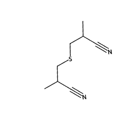 CC(C#N)CSCC(C)C#N